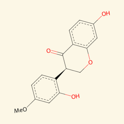 COc1ccc([C@@H]2COc3cc(O)ccc3C2=O)c(O)c1